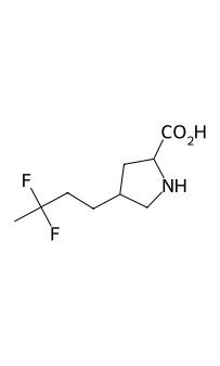 CC(F)(F)CCC1CNC(C(=O)O)C1